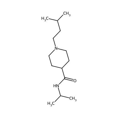 CC(C)CCN1CCC(C(=O)NC(C)C)CC1